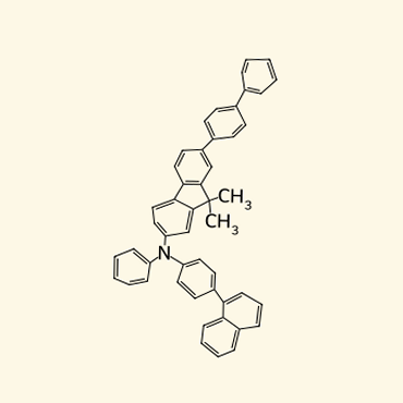 CC1(C)c2cc(-c3ccc(-c4ccccc4)cc3)ccc2-c2ccc(N(c3ccccc3)c3ccc(-c4cccc5ccccc45)cc3)cc21